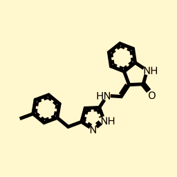 Cc1cccc(Cc2cc(N/C=C3/C(=O)Nc4ccccc43)[nH]n2)c1